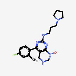 Cc1cc(F)ccc1-c1nc(NCCCN2CCCC2)nc2c1CNC[NH+]2[O-]